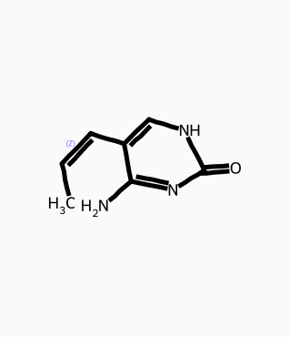 C/C=C\c1c[nH]c(=O)nc1N